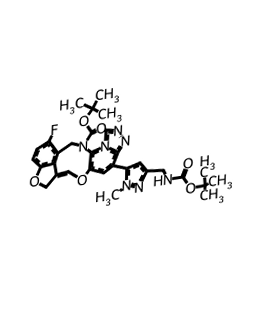 Cn1nc(CNC(=O)OC(C)(C)C)cc1-c1cc2c(n3cnnc13)N(C(=O)OC(C)(C)C)Cc1c(F)ccc3c1/C(=C/O2)CO3